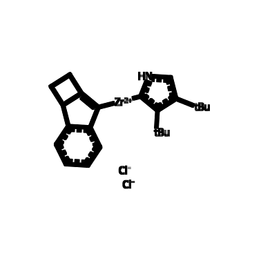 CC(C)(C)c1c[nH][c]([Zr+2][C]2=C3CCC3c3ccccc32)c1C(C)(C)C.[Cl-].[Cl-]